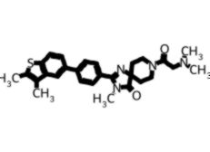 Cc1sc2ccc(-c3ccc(C4=NC5(CCN(C(=O)CN(C)C)CC5)C(=O)N4C)cc3)cc2c1C